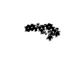 CC(Nc1nc(N)nc(Oc2ccc(CC(NC(=O)OC(C)(C)C)C(=O)OC(C)(C)C)cc2)n1)c1ccc2ccccc2c1